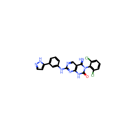 N=c1c2cnc(Nc3cccc(-c4ccn[nH]4)c3)nc2[nH]c(=O)n1-c1c(Cl)cccc1Cl